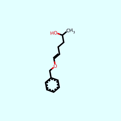 CC(O)CCC=COCc1ccccc1